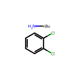 CCCCN.Clc1ccccc1Cl